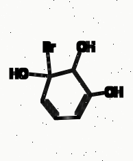 OC1=CC=CC(O)(Br)C1O